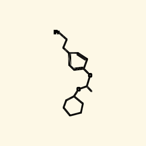 CC(C)CCc1ccc(OC(C)OC2CCCCC2)cc1